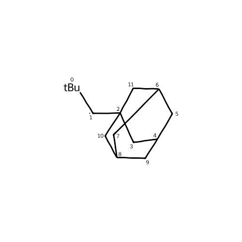 CC(C)(C)[CH]C12CC3CC(CC(C3)C1)C2